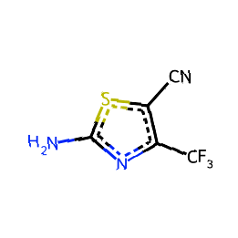 N#Cc1sc(N)nc1C(F)(F)F